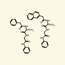 C[C@H](NC(=O)Cc1ccc2ccccc2c1)C(=O)NCC(=O)Nc1ccccc1.C[C@H](NC(=O)Cc1ccccc1)C(=O)NCC(=O)Nc1ccccc1